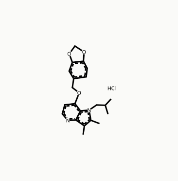 Cc1c(C)n(CC(C)C)c2c(OCc3ccc4c(c3)OCO4)ccnc12.Cl